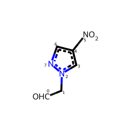 O=CCn1cc([N+](=O)[O-])cn1